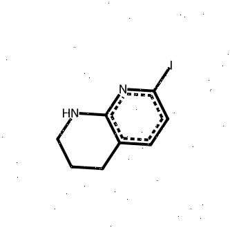 Ic1ccc2c(n1)NCCC2